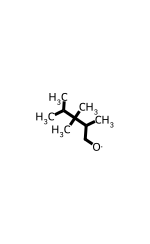 CC(C)C(C)(C)C(C)C[O]